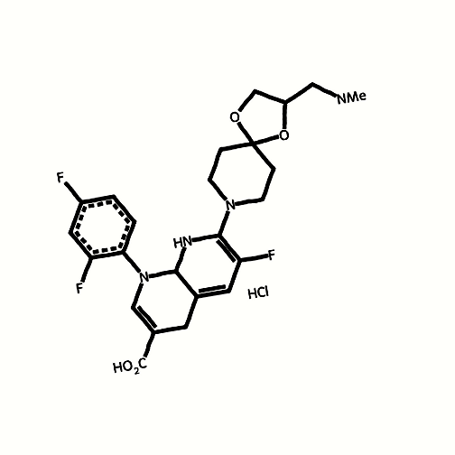 CNCC1COC2(CCN(C3=C(F)C=C4CC(C(=O)O)=CN(c5ccc(F)cc5F)C4N3)CC2)O1.Cl